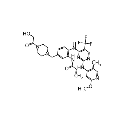 C=CC(=O)Nc1cc(CN2CCN(C(=O)CO)CC2)ccc1Nc1nc(Nc2cc(OC)ncc2C)ncc1C(F)(F)F